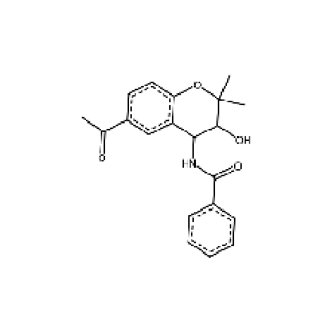 CC(=O)c1ccc2c(c1)C(NC(=O)c1ccccc1)C(O)C(C)(C)O2